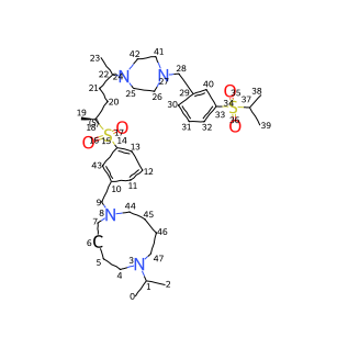 CC(C)N1CCCCN(Cc2cccc(S(=O)(=O)[C@@H](C)CCC(C)N3CCN(Cc4cccc(S(=O)(=O)C(C)C)c4)CC3)c2)CCCC1